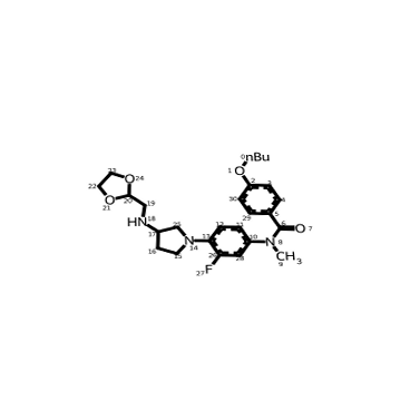 CCCCOc1ccc(C(=O)N(C)c2ccc(N3CCC(NCC4OCCO4)C3)c(F)c2)cc1